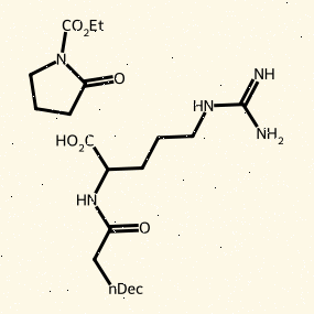 CCCCCCCCCCCC(=O)NC(CCCNC(=N)N)C(=O)O.CCOC(=O)N1CCCC1=O